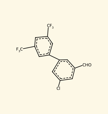 O=Cc1cc(Cl)cc(-c2cc(C(F)(F)F)cc(C(F)(F)F)c2)c1